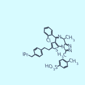 Cc1ccc(S(=O)(=O)O)cc1.Cc1nnc2n1-c1sc(CCc3ccc(CC(C)C)cc3)cc1C(c1ccccc1Cl)=N[C@H]2C